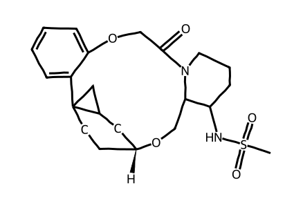 CS(=O)(=O)NC1CCCN2C(=O)COc3ccccc3C34CC[C@H](CC3C4)OCC12